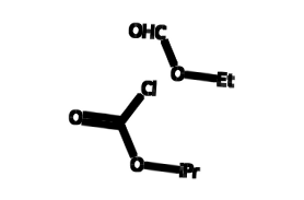 CC(C)OC(=O)Cl.CCOC=O